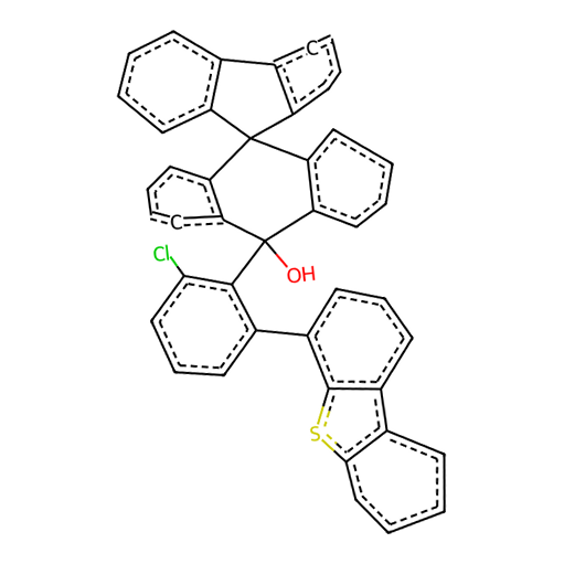 OC1(c2c(Cl)cccc2-c2cccc3c2sc2ccccc23)c2ccccc2C2(c3ccccc3-c3ccccc32)c2ccccc21